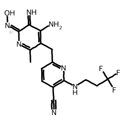 CC1=N/C(=N/O)C(=N)C(N)=C1Cc1ccc(C#N)c(NCCC(F)(F)F)n1